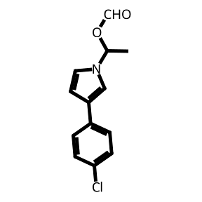 CC(OC=O)n1ccc(-c2ccc(Cl)cc2)c1